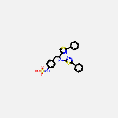 O=S(=O)(O)Nc1c[c]c(CC(Nc2nnc(-c3ccccc3)s2)c2csc(-c3ccccc3)n2)cc1